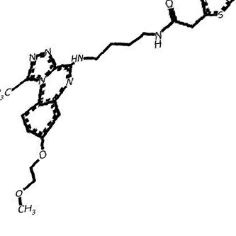 COCCOc1ccc2c(c1)nc(NCCCCNC(=O)Cc1cccs1)c1nnc(C)n12